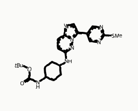 CSc1ncc(-c2cnc3ccc(NC4CCC(NC(=O)OC(C)(C)C)CC4)nn23)cn1